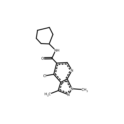 Cc1nn(C)c2ncc(C(=O)NC3CCCCC3)c(Cl)c12